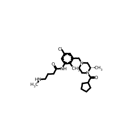 CNCCCC(=O)Nc1cc(Cl)cc(CN2CCN(C(=O)C3CCCC3)[C@@H](C)C2)c1C